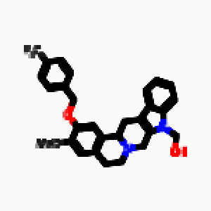 COc1cc2c(cc1OCc1ccc(C(F)(F)F)cc1)C1Cc3c(n(CO)c4ccccc34)CN1CC2